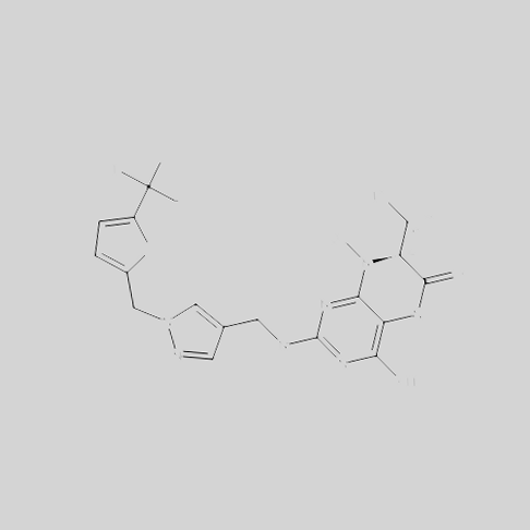 Cc1nc(NCc2cnn(Cc3ccc(C(F)(F)F)o3)c2)nc2c1NC(=O)[C@H]([C@@H](C)O)N2C